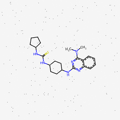 CN(C)c1nc(NC2CCC(NC(=S)NC3CCCC3)CC2)nc2ccccc12